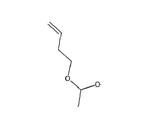 C=CCCOC(C)[O]